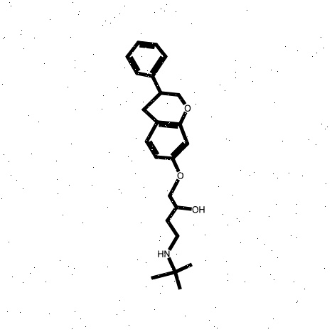 CC(C)(C)NCCC(O)COc1ccc2c(c1)OCC(c1ccccc1)C2